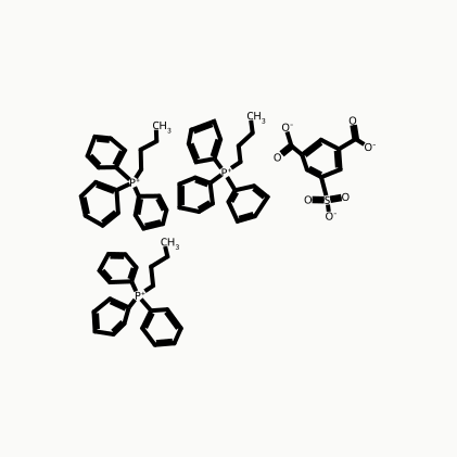 CCCC[P+](c1ccccc1)(c1ccccc1)c1ccccc1.CCCC[P+](c1ccccc1)(c1ccccc1)c1ccccc1.CCCC[P+](c1ccccc1)(c1ccccc1)c1ccccc1.O=C([O-])c1cc(C(=O)[O-])cc(S(=O)(=O)[O-])c1